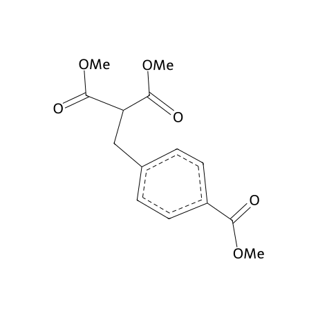 COC(=O)c1ccc(CC(C(=O)OC)C(=O)OC)cc1